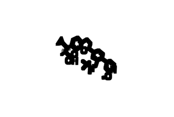 COc1cc(-c2ccc(C3CCc4ccc([C@H](C5CC5)[C@H](C)C(=O)O)cc4O3)cc2CN(C)C(C)(C)C)ccn1